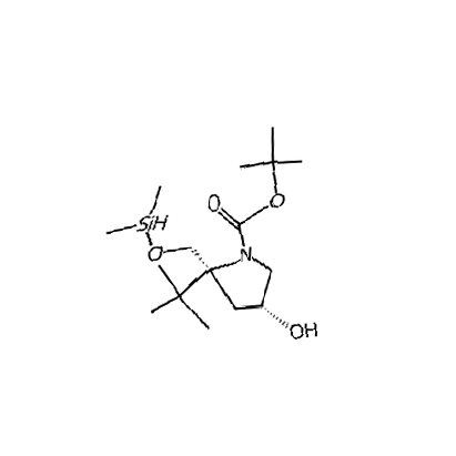 C[SiH](C)OC[C@@]1(C(C)(C)C)C[C@@H](O)CN1C(=O)OC(C)(C)C